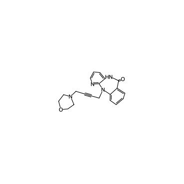 O=C1Nc2cccnc2N(CC#CCN2CCOCC2)c2ccccc21